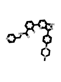 CN1CCN(c2ccc(-c3n[nH]c4ccc(-c5cccc(C(=O)NCc6ccncc6)c5F)nc34)cc2)CC1